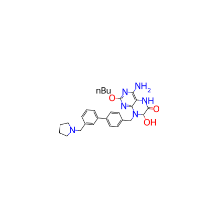 CCCCOc1nc(N)c2c(n1)N(Cc1ccc(-c3cccc(CN4CCCC4)c3)cc1)C(O)C(=O)N2